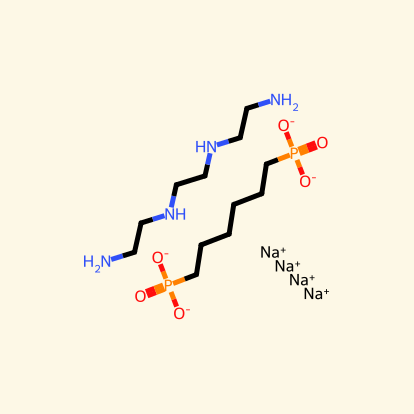 NCCNCCNCCN.O=P([O-])([O-])CCCCCCP(=O)([O-])[O-].[Na+].[Na+].[Na+].[Na+]